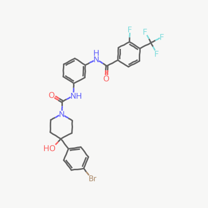 O=C(Nc1cccc(NC(=O)N2CCC(O)(c3ccc(Br)cc3)CC2)c1)c1ccc(C(F)(F)F)c(F)c1